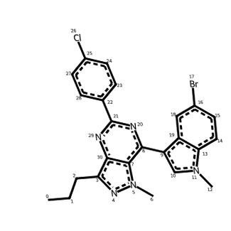 CCCc1nn(C)c2c(-c3cn(C)c4ccc(Br)cc34)nc(-c3ccc(Cl)cc3)nc12